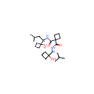 CC(C)C[C@@H](NC(=O)C1(C(=O)N[C@H](CC(C)C)C2(O)CCC2)CCC1)C1(O)CCC1